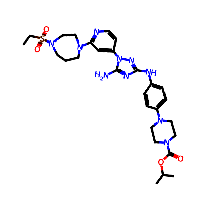 CCS(=O)(=O)N1CCCN(c2cc(-n3nc(Nc4ccc(N5CCN(C(=O)OC(C)C)CC5)cc4)nc3N)ccn2)CC1